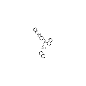 c1ccc(CNCc2ccc(CN(CCCNCc3ccc4ccccc4c3)C3CCCc4cccnc43)cc2)nc1